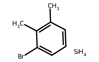 Cc1cccc(Br)c1C.[SiH4]